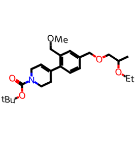 CCOC(C)COCc1ccc(C2=CCN(C(=O)OC(C)(C)C)CC2)c(COC)c1